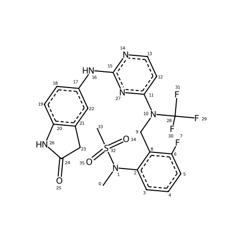 CN(c1cccc(F)c1CN(c1ccnc(Nc2ccc3c(c2)CC(=O)N3)n1)C(F)(F)F)S(C)(=O)=O